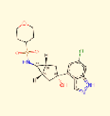 O=S(=O)(N[C@H]1[C@@H]2C[C@@](O)(c3cc(Cl)cc4[nH]ncc34)C[C@@H]21)C1CCOCC1